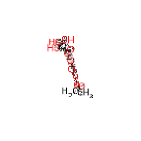 C=C(C)C(=O)OCCOCCOCCOCCOC(=O)c1cc(O)c(O)c(O)c1